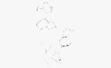 CS(=O)(=O)c1ncc(-c2cnc3[nH]nc(-c4cc5c(-c6ccccc6F)ccnc5[nH]4)c3c2)n1S(C)(=O)=O